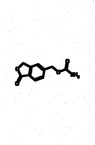 NC(=O)OCc1ccc2c(c1)COC2=O